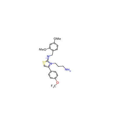 COc1ccc(C/N=c2/scc(-c3ccc(OC(F)(F)F)cc3)n2CCCN)c(OC)c1